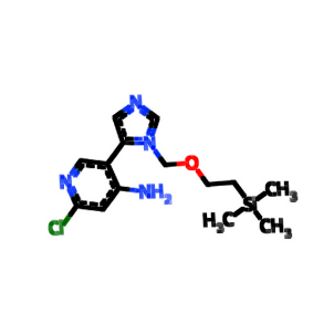 C[Si](C)(C)CCOCn1cncc1-c1cnc(Cl)cc1N